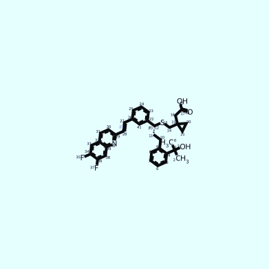 CC(C)(O)c1ccccc1CC[C@@H](SCC1(CC(=O)O)CC1)c1cccc(/C=C/c2ccc3cc(F)c(F)cc3n2)c1